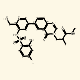 CNC(=O)C(C)Cn1cnc2ccc(-c3cnc(CO)c(NS(=O)(=O)c4ccc(F)cc4Cl)c3)cc2c1=O